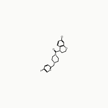 O=C(N1CCN(Cc2ccc(F)cn2)CC1)N1CCOc2cc(Cl)ccc21